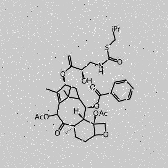 C=C(O[C@H]1CC2[C@@H](OC(=O)c3ccccc3)[C@H]3[C@@](C)(CCC4OC[C@]43OC(C)=O)C(=O)C(OC(C)=O)C(=C1C)C2(C)C)[C@H](O)CNC(=O)SCC(C)C